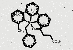 Cc1ccccc1P(Cc1ccccc1)(OC(=O)CCC(=O)O)(c1ccccc1C)c1ccccc1C